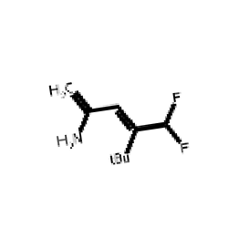 C=C(N)/C=C(/C(F)F)C(C)(C)C